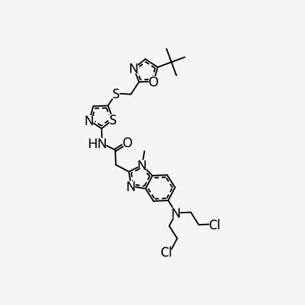 Cn1c(CC(=O)Nc2ncc(SCc3ncc(C(C)(C)C)o3)s2)nc2cc(N(CCCl)CCCl)ccc21